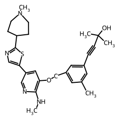 CNc1ncc(-c2cnc(C3CCN(C)CC3)s2)cc1OCc1cc(C)cc(C#CC(C)(C)O)c1